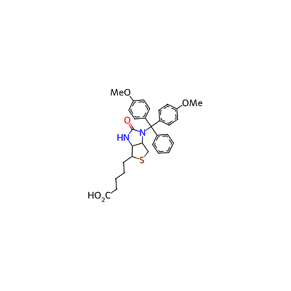 COc1ccc(C(c2ccccc2)(c2ccc(OC)cc2)N2C(=O)NC3C(CCCCC(=O)O)SCC32)cc1